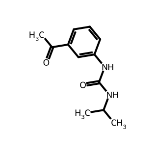 CC(=O)c1cccc(NC(=O)NC(C)C)c1